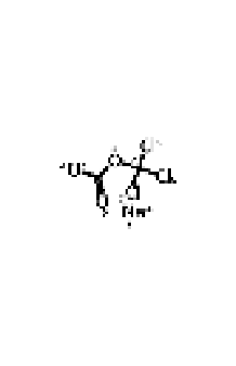 O=C([O-])OC(Cl)(Cl)Cl.[Na+]